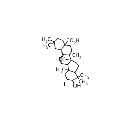 CC1(C)CC[C@]2(C(=O)O)CC[C@]3(C)C(=CCC4[C@@]5(C)C[C@@H](I)[C@H](O)C(C)(C)C5CC[C@]43C)C2C1